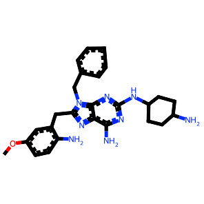 COc1ccc(N)c(Cc2nc3c(N)nc(NC4CCC(N)CC4)nc3n2Cc2ccccc2)c1